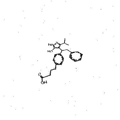 CC(C)c1n[nH]c(O)c1C(Cc1ccccc1)c1ccc(CCCC(=O)O)cc1